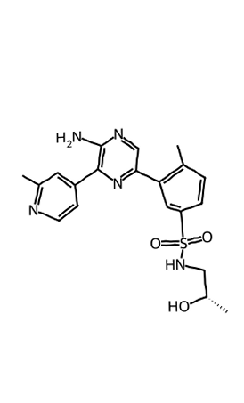 Cc1cc(-c2nc(-c3cc(S(=O)(=O)NC[C@H](C)O)ccc3C)cnc2N)ccn1